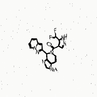 O=C(c1cn[nH]c1C(F)F)N1CCc2[nH]cnc2C1c1cc2ccccn2n1